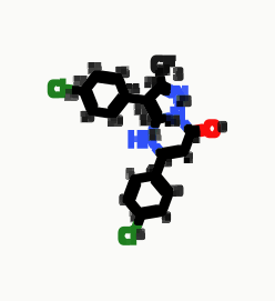 O=c1cc(-c2ccc(Cl)cc2)[nH]c2c(-c3ccc(Cl)cc3)c(C(F)(F)F)nn12